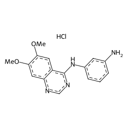 COc1cc2ncnc(Nc3cccc(N)c3)c2cc1OC.Cl